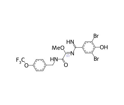 CO/C(=N\C(=N)c1cc(Br)c(O)c(Br)c1)C(=O)NCc1ccc(OC(F)(F)F)cc1